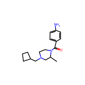 CC1CN(CC2CCC2)CCN1C(=O)c1ccc(N)cc1